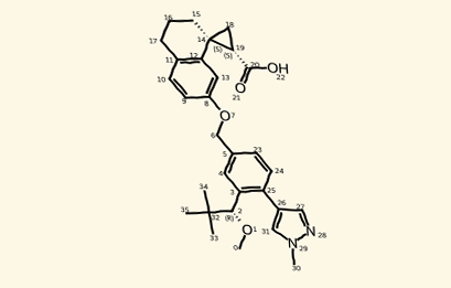 CO[C@@H](c1cc(COc2ccc3c(c2)[C@@]2(CCC3)C[C@@H]2C(=O)O)ccc1-c1cnn(C)c1)C(C)(C)C